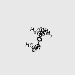 CC1(C)OB(c2ccc(-c3cnn(N4CCC[C@@H]4O)c3)cc2)OC1(C)C